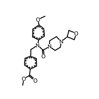 COC(=O)c1ccc(CN(C(=O)N2CCN(C3COC3)CC2)c2ccc(OC)cc2)cc1